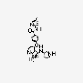 CPn1nc(N[C@@H]2CCCNC2)c2c(Oc3ccc(C(=O)Nc4ncc(C)s4)cc3)ccnc21